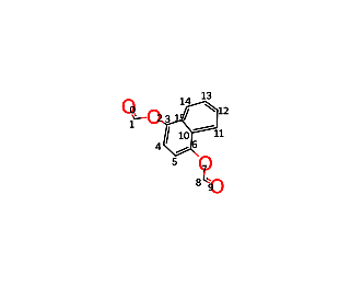 O=COc1ccc(OC=O)c2ccccc12